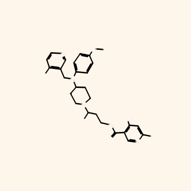 COc1ccc(N(Cc2cnccc2C)C2CCN(C(C)CCNC(=O)c3cnc(Cl)cc3C)CC2)cc1